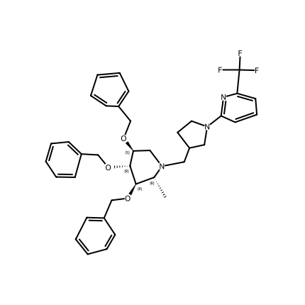 C[C@@H]1[C@@H](OCc2ccccc2)[C@H](OCc2ccccc2)[C@@H](OCc2ccccc2)CN1CC1CCN(c2cccc(C(F)(F)F)n2)C1